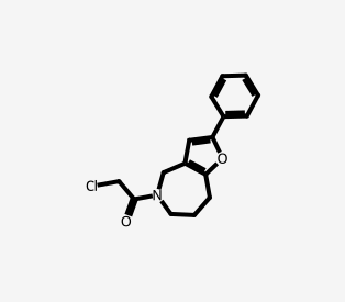 O=C(CCl)N1CCCc2oc(-c3ccccc3)cc2C1